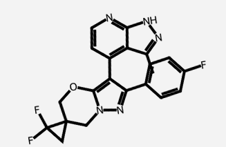 Cc1n[nH]c2nccc(-c3c(-c4ccc(F)cc4)nn4c3OCC3(C4)CC3(F)F)c12